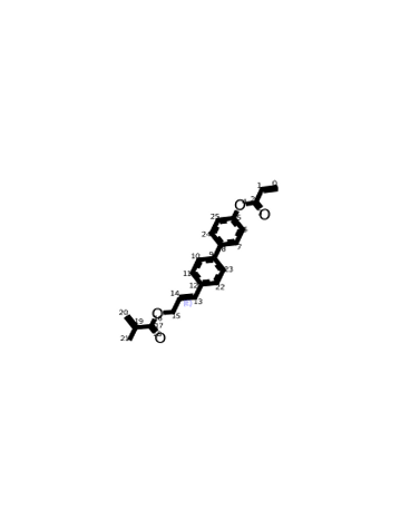 C=CC(=O)Oc1ccc(-c2ccc(/C=C/COC(=O)C(=C)C)cc2)cc1